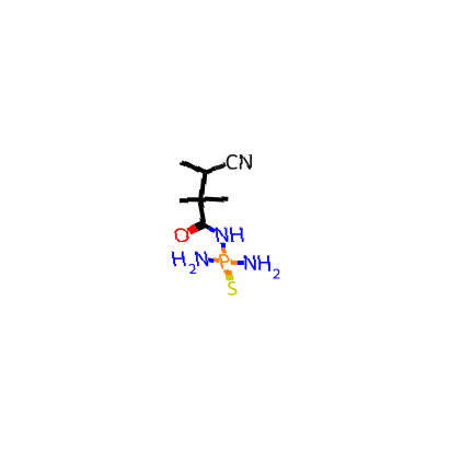 CC(C#N)C(C)(C)C(=O)NP(N)(N)=S